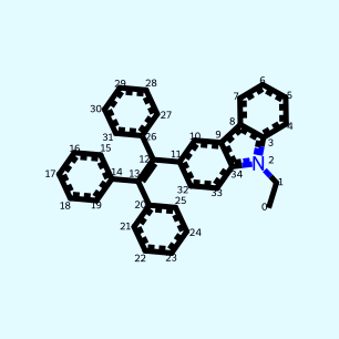 CCn1c2ccccc2c2cc(C(=C(c3ccccc3)c3ccccc3)c3ccccc3)ccc21